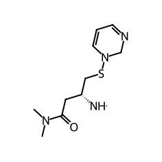 CN(C)C(=O)C[C@@H]([NH])CSN1C=CC=NC1